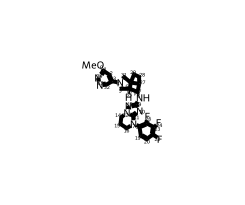 COc1cc(N2C[C@H]3[C@H](Nc4nc5n(n4)CCCN5c4ccc(F)c(F)c4F)C4CCC43C2)cnn1